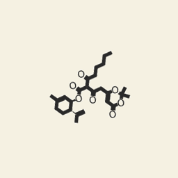 C=C(C)[C@@H]1CCC(C)=C[C@H]1OC(=O)C(C(=O)CCCCC)C(=O)CC1=CC(=O)OC(C)(C)O1